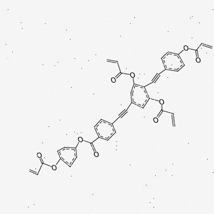 C=CC(=O)Oc1ccc(C#Cc2c(OC(=O)C=C)cc(C#Cc3ccc(C(=O)Oc4ccc(OC(=O)C=C)cc4)cc3)cc2OC(=O)C=C)cc1